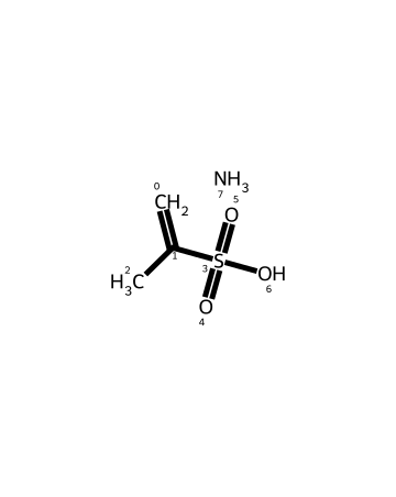 C=C(C)S(=O)(=O)O.N